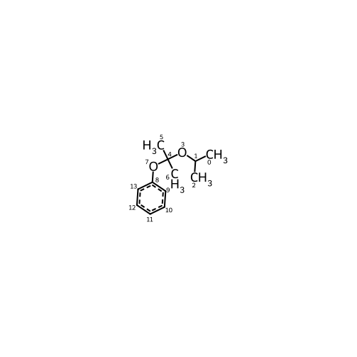 CC(C)OC(C)(C)Oc1ccccc1